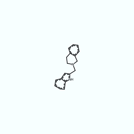 c1ccc2c(c1)CCN(Cc1cc3ccccc3[nH]1)C2